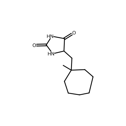 CC1(CC2NC(=O)NC2=O)CCCCCC1